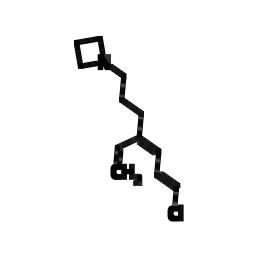 C=C/C(=C\C=C\Cl)CCCN1CCC1